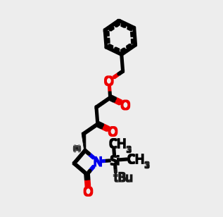 CC(C)(C)[Si](C)(C)N1C(=O)C[C@H]1CC(=O)CC(=O)OCc1ccccc1